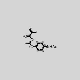 C=C(C)C(=O)OC(C)Oc1ccc(NC(C)=O)cc1